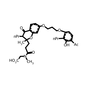 CCCc1c(OCCCOc2ccc3c(c2)OC(C)(CCC(=O)N(C)CC(=O)O)C(CCC)C3=O)ccc(C(C)=O)c1O